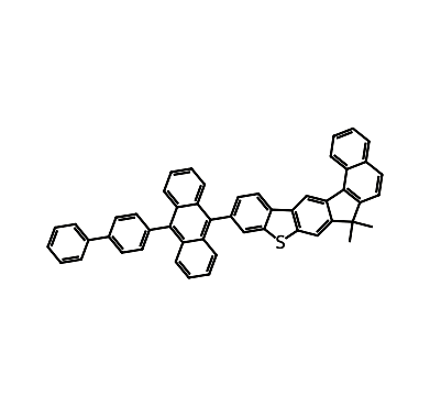 CC1(C)c2cc3sc4cc(-c5c6ccccc6c(-c6ccc(-c7ccccc7)cc6)c6ccccc56)ccc4c3cc2-c2c1ccc1ccccc21